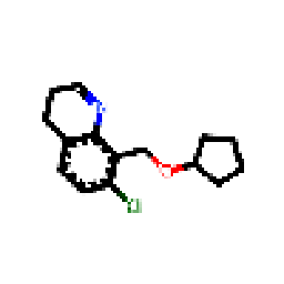 Clc1ccc2c(c1COC1CCCC1)N=CCC2